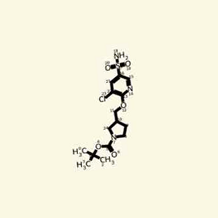 CC(C)(C)OC(=O)N1CCC(COc2ncc(S(N)(=O)=O)cc2Cl)C1